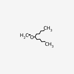 C=COC(CCCCC)CCCCC